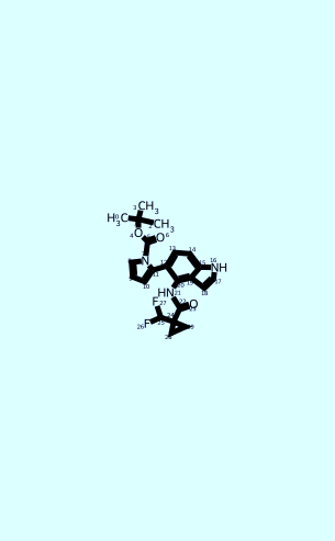 CC(C)(C)OC(=O)n1cccc1-c1ccc2[nH]ccc2c1NC(=O)C1(C(F)F)CC1